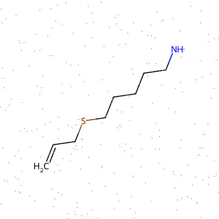 C=CCSCCCCC[NH]